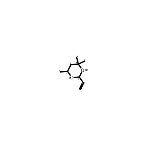 C=CC1OC(C)CC(C)(C)O1